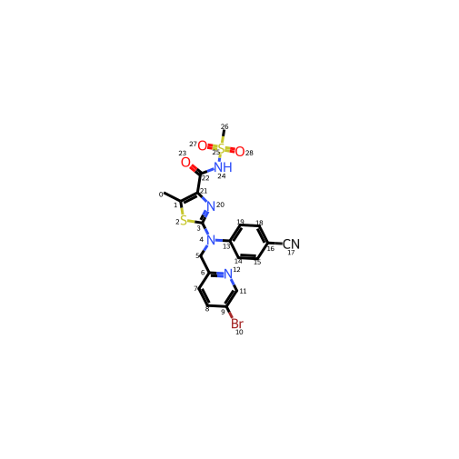 Cc1sc(N(Cc2ccc(Br)cn2)c2ccc(C#N)cc2)nc1C(=O)NS(C)(=O)=O